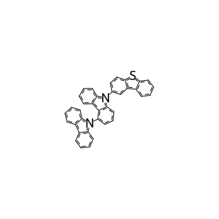 c1ccc2c(c1)sc1ccc(-n3c4ccccc4c4c(-n5c6ccccc6c6ccccc65)cccc43)cc12